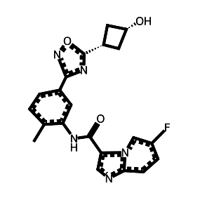 Cc1ccc(-c2noc([C@H]3C[C@@H](O)C3)n2)cc1NC(=O)c1cnc2ccc(F)cn12